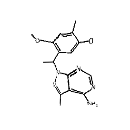 COc1cc(C)c(Cl)cc1C(C)n1nc(C)c2c(N)ncnc21